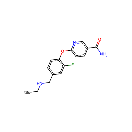 CC(C)(C)CNCc1ccc(Oc2ccc(C(N)=O)cn2)c(F)c1